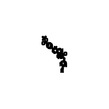 CC(C)(C)OC(=O)N1CCN(c2ccc3c(O)c(C(=O)NCc4cnc(C#N)nc4)ncc3n2)CC1